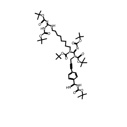 CC(C)(C)OC(=O)/N=C(/NCCCCCCCCN(C(=O)OC(C)(C)C)/C(=N\C(=O)OC(C)(C)C)N(CC#Cc1ccc(C(=N)NC(=O)OC(C)(C)C)cc1)C(=O)OC(C)(C)C)NC(=O)OC(C)(C)C